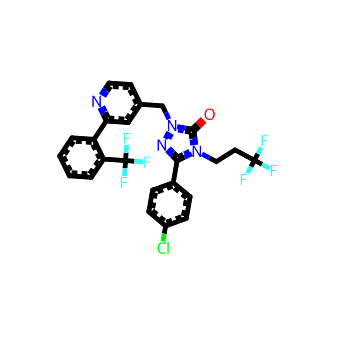 O=c1n(Cc2ccnc(-c3ccccc3C(F)(F)F)c2)nc(-c2ccc(Cl)cc2)n1CCC(F)(F)F